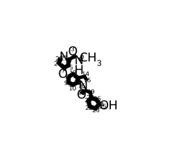 CNC(=O)c1cc(Oc2ccc3c(c2)CCN3C(=O)Cc2cccc(O)c2)ccn1